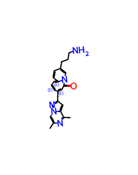 Cc1cn2nc(C3=C\C(=O)N4C=C(CCCN)C=C\C4=C/C=C/3)cc2c(C)n1